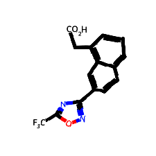 O=C(O)Cc1cccc2ccc(-c3noc(C(F)(F)F)n3)cc12